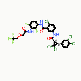 O=C(COCC(F)(F)F)Nc1c(F)ccc(NC(=O)c2cc(NC(=O)[C@H]3[C@H](c4ccc(Cl)c(Cl)c4)C3(Cl)Cl)ccc2Cl)c1F